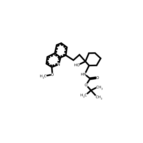 COc1ccc2cccc(CCC3(O)CCCCC3NC(=O)OC(C)(C)C)c2n1